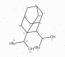 CCCCC(O)C1C2CC3CC(C2)CC1(C(O)CCCC)C3